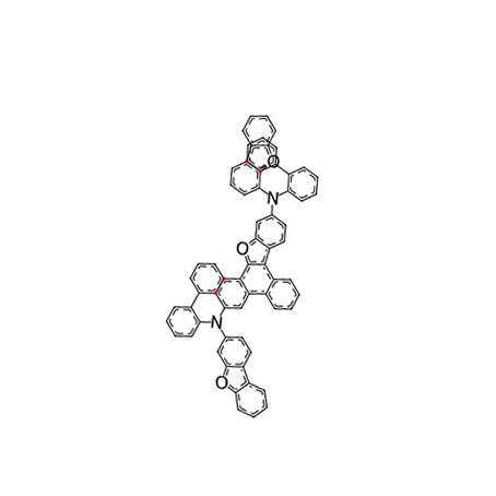 c1ccc(-c2ccccc2N(c2ccc3c(c2)oc2ccccc23)c2ccc3c(c2)c2ccccc2c2c4ccc(N(c5ccccc5-c5ccccc5)c5cccc6c5oc5ccccc56)cc4oc32)cc1